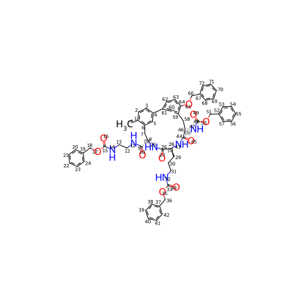 Cc1ccc2cc1C[C@@H](C(=O)NCCNC(=O)OCc1ccccc1)NC(=O)[C@H](CCCNC(=O)OCc1ccccc1)NC(=O)[C@@H](NC(=O)OCc1ccccc1)Cc1cc-2ccc1OCc1ccccc1